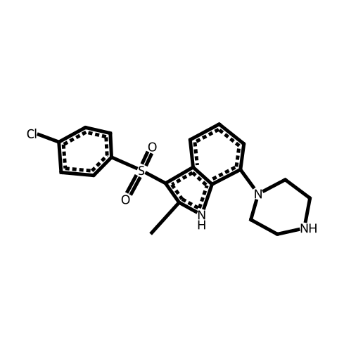 Cc1[nH]c2c(N3CCNCC3)cccc2c1S(=O)(=O)c1ccc(Cl)cc1